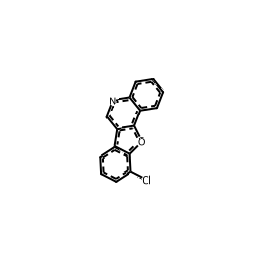 Clc1cccc2c1oc1c3ccccc3ncc21